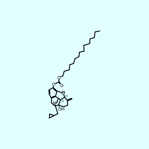 C=C1CC[C@@]2(O)C3Cc4ccc(OC(=O)OCCCCCCCCCCCCCCC)c5c4[C@@]2(CCN3CC2CC2)[C@H]1O5